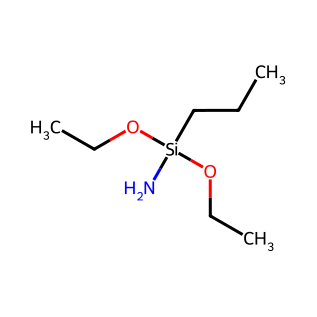 CCC[Si](N)(OCC)OCC